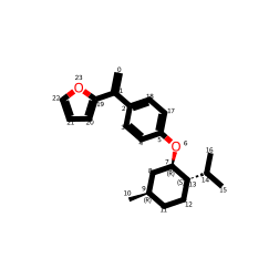 C=C(c1ccc(O[C@@H]2C[C@H](C)CC[C@H]2C(C)C)cc1)c1ccco1